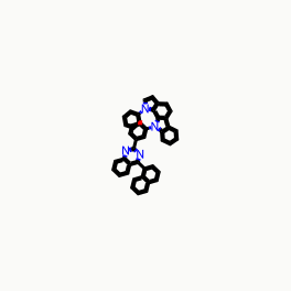 c1ccc(-n2ccc3ccc4c5ccccc5n(-c5cccc(-c6nc(-c7cccc8ccccc78)c7ccccc7n6)c5)c4c32)cc1